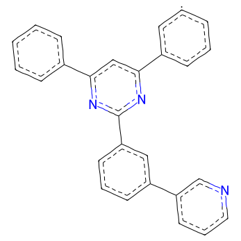 [c]1cccc(-c2cc(-c3ccccc3)nc(-c3cccc(-c4cccnc4)c3)n2)c1